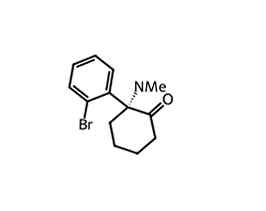 CN[C@@]1(c2ccccc2Br)CCCCC1=O